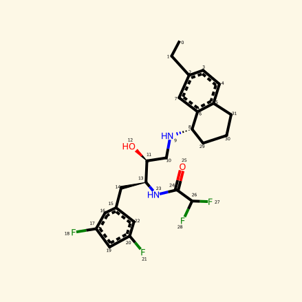 CCc1ccc2c(c1)[C@@H](NC[C@H](O)[C@H](Cc1cc(F)cc(F)c1)NC(=O)C(F)F)CCC2